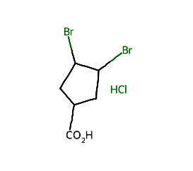 Cl.O=C(O)C1CC(Br)C(Br)C1